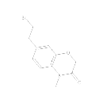 CN1C(=O)COc2cc(CCBr)ccc21